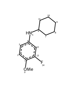 COc1ccc(NC2CCCCC2)cc1F